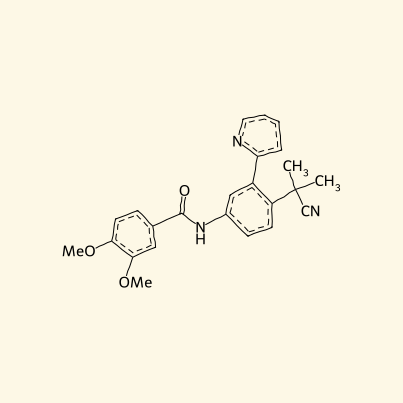 COc1ccc(C(=O)Nc2ccc(C(C)(C)C#N)c(-c3ccccn3)c2)cc1OC